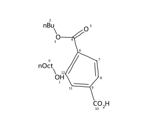 CCCCCCCCO.CCCCOC(=O)c1ccc(C(=O)O)cc1